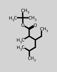 CCC(CC(C)C)C(C)C(=O)OC(C)(C)C